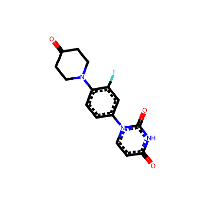 O=C1CCN(c2ccc(-n3ccc(=O)[nH]c3=O)cc2F)CC1